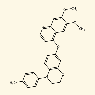 COc1cc2nccc(Oc3ccc4c(c3)OCCN4c3ccc(C)cc3)c2cc1OC